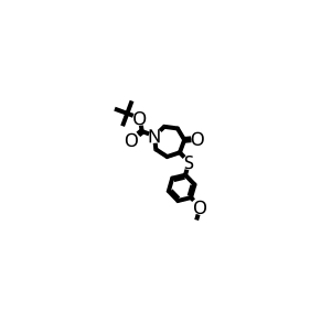 COc1cccc(SC2CCN(C(=O)OC(C)(C)C)CCC2=O)c1